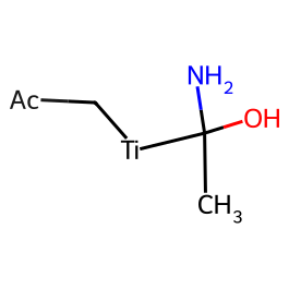 CC(=O)[CH2][Ti][C](C)(N)O